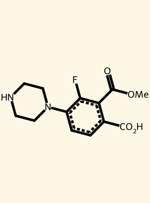 COC(=O)c1c(C(=O)O)ccc(N2CCNCC2)c1F